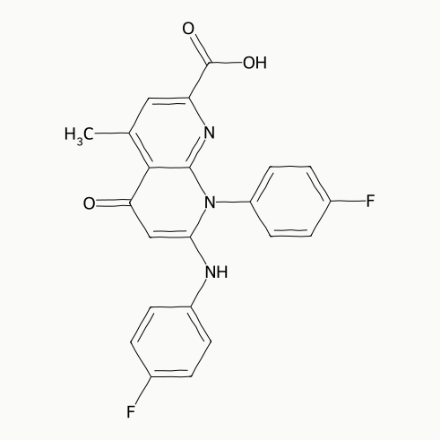 Cc1cc(C(=O)O)nc2c1c(=O)cc(Nc1ccc(F)cc1)n2-c1ccc(F)cc1